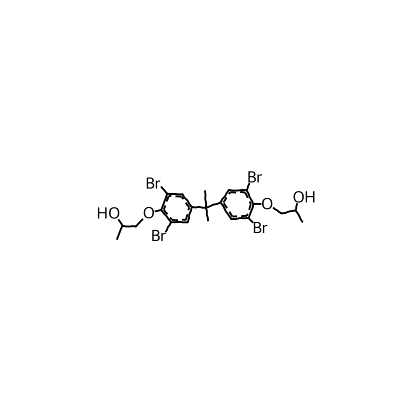 CC(O)COc1c(Br)cc(C(C)(C)c2cc(Br)c(OCC(C)O)c(Br)c2)cc1Br